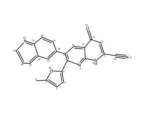 Cc1ccc(-c2nc3[nH]c(C#N)cc(=O)c3cc2-c2ccc3ncccc3c2)o1